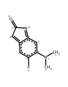 CN(C)c1cc2c(cc1F)=CC(=O)N=2